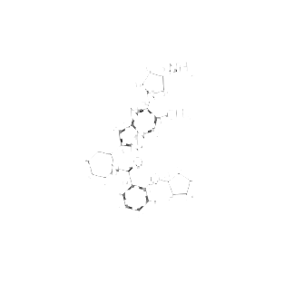 Cc1cn2nc([C@@H]3CCCCN3C(=O)c3ccccc3OC3CCCC3)cc2nc1N1CC[C@H](N)C1